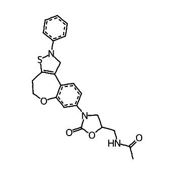 CC(=O)NCC1CN(c2ccc3c(c2)OCCC2=C3CN(c3ccccc3)S2)C(=O)O1